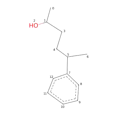 CC(O)CCC(C)c1ccccc1